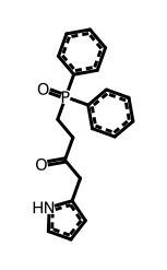 O=C(CCP(=O)(c1ccccc1)c1ccccc1)Cc1ccc[nH]1